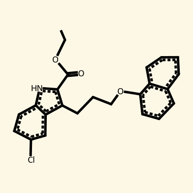 CCOC(=O)c1[nH]c2ccc(Cl)cc2c1CCCOc1cccc2ccccc12